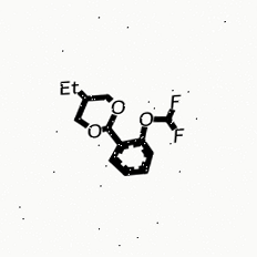 CCC1COC(c2ccccc2OC(F)F)OC1